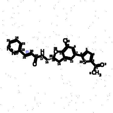 CC(=O)c1ccc(-c2cc(Cl)c3c(c2)C[C@H](CNC(=O)/C=C/c2cccnn2)O3)s1